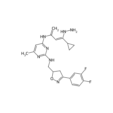 C=C(/C=C(\NN)C1CC1)Nc1cc(C)nc(NCC2CC(c3ccc(F)c(F)c3)=NO2)n1